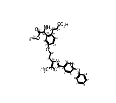 Cc1oc(-c2ccc(Oc3ccccc3)nc2)nc1CCOc1ccc(CCC(=O)O)c(C(N)C(=O)OC(C)C)c1